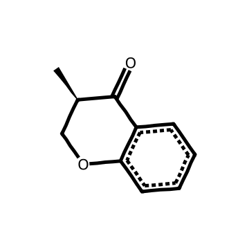 C[C@@H]1COc2ccccc2C1=O